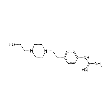 N=C(N)Nc1ccc(CCN2CCN(CCO)CC2)cc1